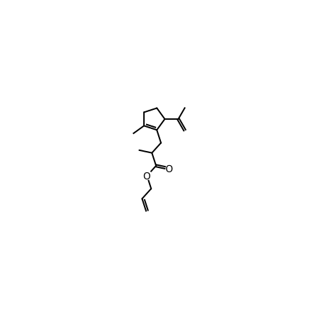 C=CCOC(=O)C(C)CC1=C(C)CCC1C(=C)C